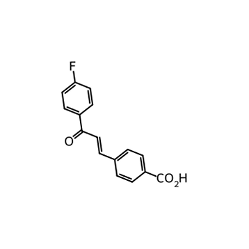 O=C(O)c1ccc(C=CC(=O)c2ccc(F)cc2)cc1